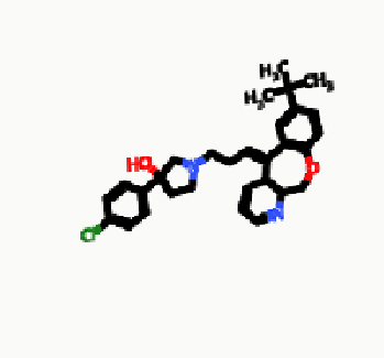 CC(C)(C)c1ccc2c(c1)/C(=C/CCN1CCC(O)(c3ccc(Cl)cc3)C1)C1C=CC=NC1CO2